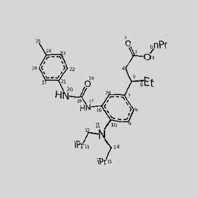 CCCOC(=O)CC(CC)c1ccc(N(CC(C)C)CC(C)C)c(NC(=O)Nc2ccc(C)cc2)c1